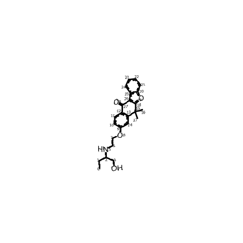 CCC(CO)NCCOc1ccc2c(c1)C(C)(C)c1oc3ccccc3c1C2=O